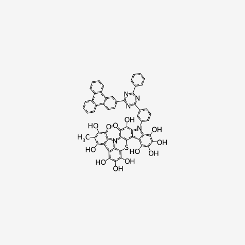 Cc1c(O)c2ooc3c(O)c4c(c5c3n3c6c(c(O)c(O)c(O)c6c(c1O)c23)S5)c1c(O)c(O)c(O)c(O)c1n4-c1cccc(-c2nc(-c3ccccc3)nc(-c3ccc4c5ccccc5c5ccccc5c4c3)n2)c1